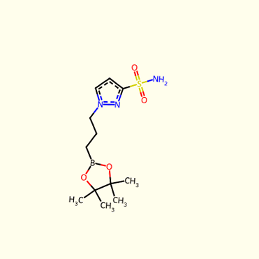 CC1(C)OB(CCCn2ccc(S(N)(=O)=O)n2)OC1(C)C